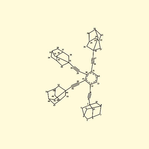 C(#CC12CC3CC(CC(C3)C1)C2)c1[c]cc(C#CC23CC4CC(CC(C4)C2)C3)c(C#CC23CC4CC(CC(C4)C2)C3)c1C#CC12CC3CC(CC(C3)C1)C2